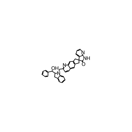 O=C1Nc2ncccc2C12Cc1cc3ccc(CN4c5ccccc5CC4C(O)c4ccccc4)nc3cc1C2